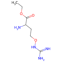 CCOC(=O)C(N)CCONC(=N)N